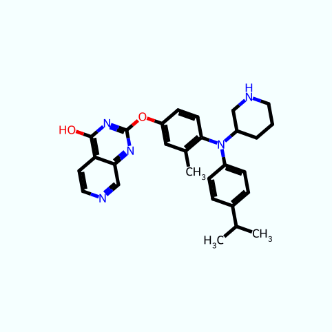 Cc1cc(Oc2nc(O)c3ccncc3n2)ccc1N(c1ccc(C(C)C)cc1)C1CCCNC1